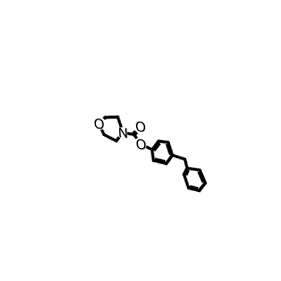 O=C(Oc1ccc(Cc2ccccc2)cc1)N1CCOCC1